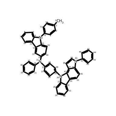 Cc1ccc(-n2c3ccccc3c3cc(N(c4ccccc4)c4ccc(-n5c6ccccc6c6ccc7c(ccn7-c7ccccc7)c65)cc4)ccc32)cc1